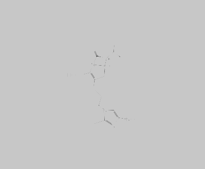 Cc1nc([N+](=O)[O-])cn1CCSC1=C(C(=O)O)N2C(=O)[C@@H]([C@H](C)O)[C@H]2C1